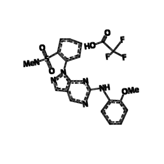 CNS(=O)(=O)c1ccccc1-n1ncc2cnc(Nc3ccccc3OC)nc21.O=C(O)C(F)(F)F